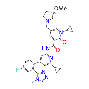 CO[C@H]1CCN(Cc2cc(C(=O)Nc3cc(-c4ccc(F)cc4-c4nncn4C)cc(C4CC4)n3)c(=O)n(C3CC3)c2)C1